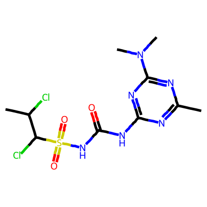 Cc1nc(NC(=O)NS(=O)(=O)C(Cl)C(C)Cl)nc(N(C)C)n1